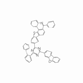 c1ccc(-c2ccccc2-c2nc(-c3ccc4c(c3)oc3ccccc34)nc(-c3ccc4sc5c(ccc6c(-c7ccccc7)nc7ccccc7c65)c4c3)n2)cc1